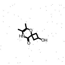 CC1=C(C)OC2(CC(O)C2)C(=O)N1